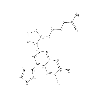 O=C(O)CCOC[C@H]1CCCN1c1cc(-n2cncn2)c2cc(Cl)c(Br)cc2n1